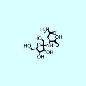 NC(=O)C[C@H](NC1(CO)O[C@H](CO)[C@@H](O)[C@@H]1O)C(=O)O